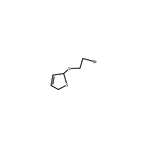 BrCCSC1C=CCS1